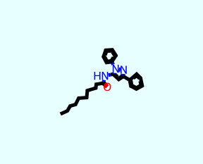 CCCCCCCCCC(=O)Nc1cc(-c2ccccc2)nn1-c1ccccc1